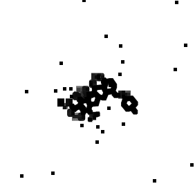 CC1CCC(NCc2ccc(O)c3c2CC2CC4C(N(C)C)C(O)=C(C(N)=O)C(=O)C4(O)C(O)=C2C3=O)CC1